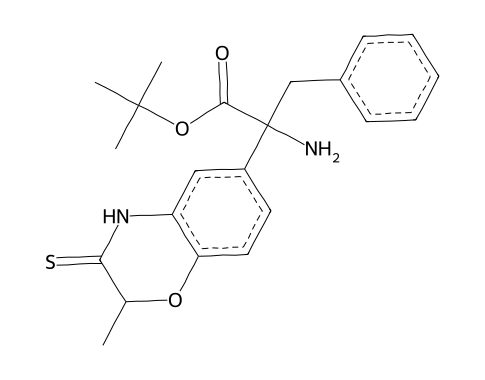 CC1Oc2ccc(C(N)(Cc3ccccc3)C(=O)OC(C)(C)C)cc2NC1=S